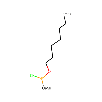 CCCCCCCCCCCCOP(Cl)OC